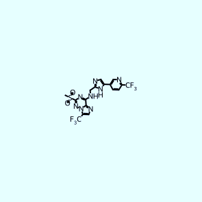 CS(=O)(=O)c1nc(NCc2ncc(-c3ccc(C(F)(F)F)nc3)[nH]2)c2ncc(C(F)(F)F)n2n1